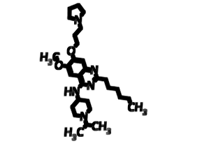 CCCCCCc1nc(NC2CCN(C(C)C)CC2)c2cc(OC)c(OCCCN3CCCC3)cc2n1